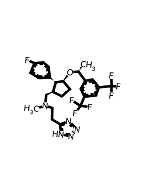 C[C@@H](O[C@H]1CC[C@@H](CN(C)CCc2nnn[nH]2)[C@@H]1c1ccc(F)cc1)c1cc(C(F)(F)F)cc(C(F)(F)F)c1